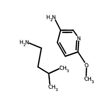 CC(C)CCN.COc1ccc(N)cn1